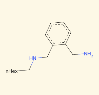 CCCCCCCNCc1ccccc1CN